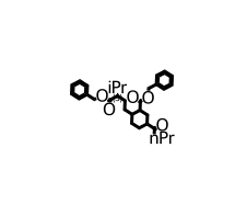 CCCC(=O)C1CCC(CC[C@H](C(=O)OCc2ccccc2)C(C)C)C(C(=O)OCc2ccccc2)C1